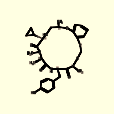 C[C@@H]1CN[C@@H](C2CC2)C(=O)N(C)[C@H](C)C(=O)N[C@H](Cc2ccc(O)cc2)C(=O)N(C)CCCc2ccccc2O1